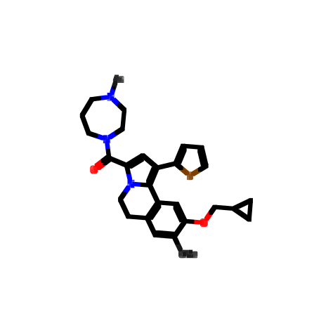 COc1cc2c(cc1OCC1CC1)-c1c(-c3cccs3)cc(C(=O)N3CCCN(C(C)=O)CC3)n1CC2